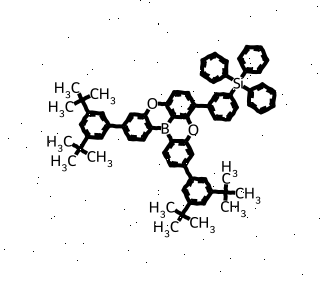 CC(C)(C)c1cc(-c2ccc3c(c2)Oc2ccc(-c4cccc([Si](c5ccccc5)(c5ccccc5)c5ccccc5)c4)c4c2B3c2ccc(-c3cc(C(C)(C)C)cc(C(C)(C)C)c3)cc2O4)cc(C(C)(C)C)c1